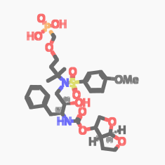 COc1ccc(S(=O)(=O)N(C[C@@H](O)[C@H](Cc2ccccc2)NC(=O)OC2CO[C@H]3OCC[C@@H]23)C(C)(C)CCOCP(=O)(O)O)cc1